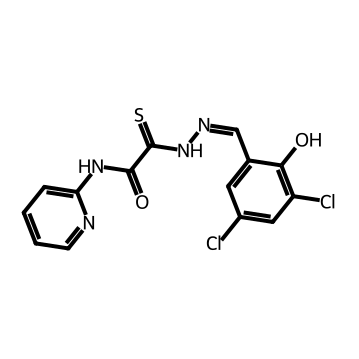 O=C(Nc1ccccn1)C(=S)N/N=C\c1cc(Cl)cc(Cl)c1O